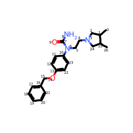 CC1CN(CCN(C(N)=O)c2ccc(OCc3ccccc3)cc2)CC1C